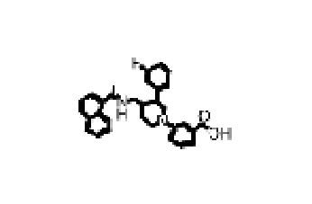 C[C@@H](NCC1CCN(c2cccc(C(=O)O)c2)CC1c1cccc(F)c1)c1cccc2ccccc12